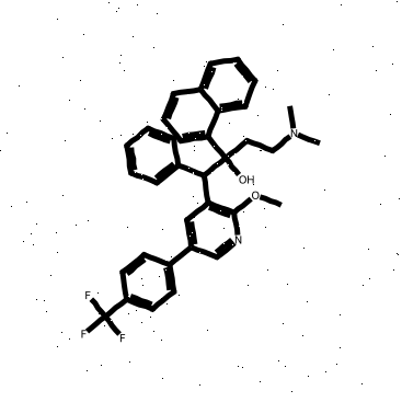 COc1ncc(-c2ccc(C(F)(F)F)cc2)cc1C(c1ccccc1)C(O)(CCN(C)C)c1cccc2ccccc12